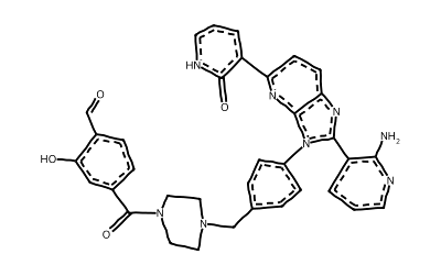 Nc1ncccc1-c1nc2ccc(-c3ccc[nH]c3=O)nc2n1-c1ccc(CN2CCN(C(=O)c3ccc(C=O)c(O)c3)CC2)cc1